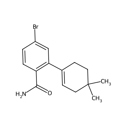 CC1(C)CC=C(c2cc(Br)ccc2C(N)=O)CC1